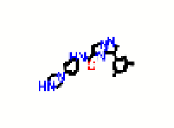 Cc1cc(C)cc(-c2cnn3ccc(C(=O)Nc4ccc(N5CCNCC5)cc4)nc23)c1